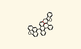 C1=C(c2ccccc2-c2c3ccccc3c(-c3cc4cccc5oc6cccc3c6c45)c3ccccc23)c2oc3ccccc3c2CC1